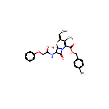 CC(=O)O/C=C1/S[C@@H]2C(NC(=O)COc3ccccc3)C(=O)N2C(C(=O)OCc2ccc([N+](=O)[O-])cc2)=C1C